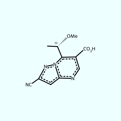 CO[C@@H](C)c1c(C(=O)O)cnc2cc(C#N)nn12